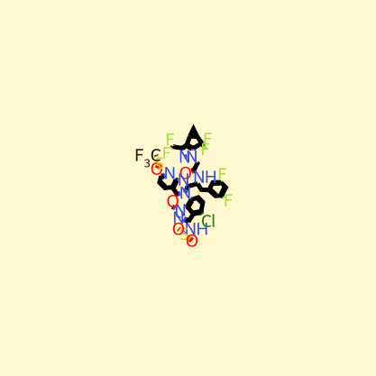 Cn1nc(NS(C)(=O)=O)c2c(Cl)ccc(-n3c(C(Cc4cc(F)cc(F)c4)NC(=O)Cn4nc(C(F)F)c5c4C(F)(F)C4CC54)nc4nc(OSC(F)(F)F)ccc4c3=O)c21